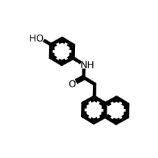 O=C(Cc1cccc2ccccc12)Nc1ccc(O)cc1